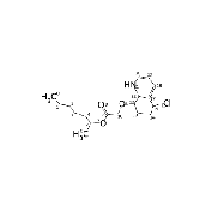 CCCCCC(C)OC(=O)COC1CCC(Cl)C2=CC=CNC21